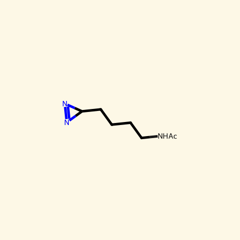 CC(=O)NCCCCC1N=N1